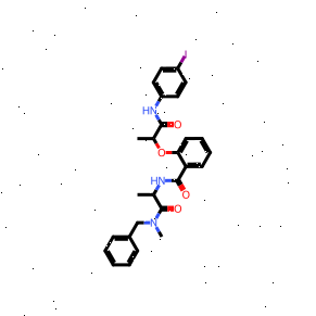 CC(NC(=O)c1ccccc1OC(C)C(=O)Nc1ccc(I)cc1)C(=O)N(C)Cc1ccccc1